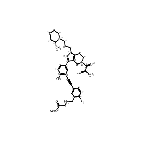 COC(=O)CNCc1cc(C#Cc2cc(-c3nn(CCCN4CCOC[C@@H]4C)c4c3CN(C(=O)C(N)=O)CC4)ccc2Cl)ccc1Cl